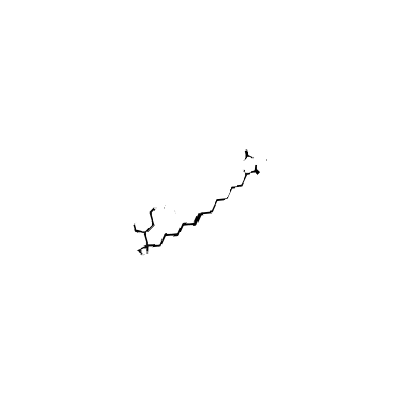 CCCC(CC)C1(CCCCC=CCCCCCC2SC(=O)NC2=O)CO1